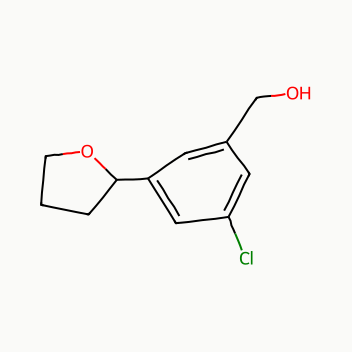 OCc1cc(Cl)cc(C2CCCO2)c1